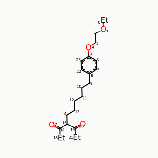 CCOCCOc1ccc(CCCCCCC(C(=O)CC)C(=O)CC)cc1